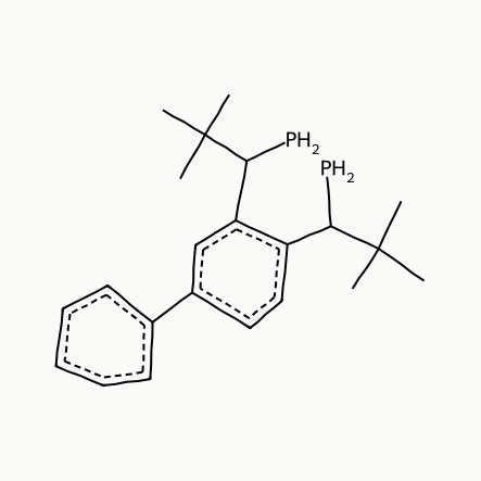 CC(C)(C)C(P)c1ccc(-c2ccccc2)cc1C(P)C(C)(C)C